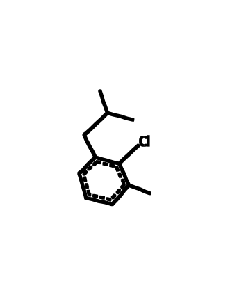 Cc1cccc(CC(C)C)c1Cl